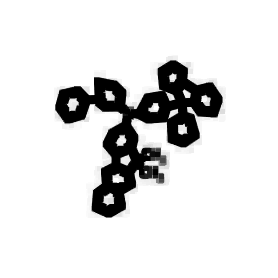 CC1(C)c2cc(N(c3ccc(C4(c5ccccc5)c5ccccc5-c5ccccc54)cc3)c3cccc(-c4ccccc4)c3)ccc2-c2cc3ccccc3cc21